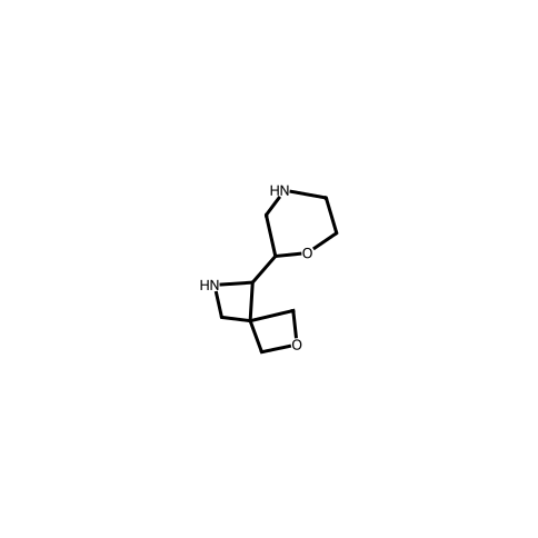 C1COC(C2NCC23COC3)CN1